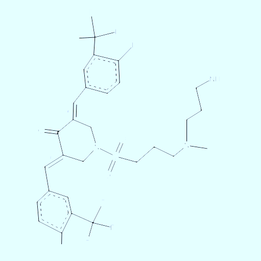 CN(CCCN)CCCS(=O)(=O)N1C/C(=C\c2ccc(F)c(C(F)(F)F)c2)C(=O)/C(=C/c2ccc(F)c(C(F)(F)F)c2)C1